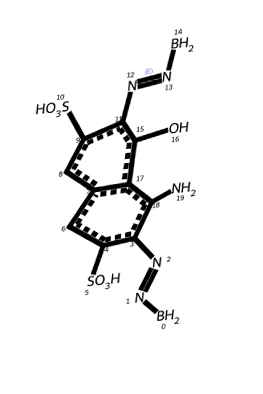 BN=Nc1c(S(=O)(=O)O)cc2cc(S(=O)(=O)O)c(/N=N/B)c(O)c2c1N